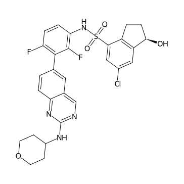 O=S(=O)(Nc1ccc(F)c(-c2ccc3nc(NC4CCOCC4)ncc3c2)c1F)c1cc(Cl)cc2c1CC[C@H]2O